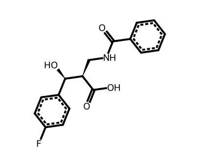 O=C(NC[C@@H](C(=O)O)[C@H](O)c1ccc(F)cc1)c1ccccc1